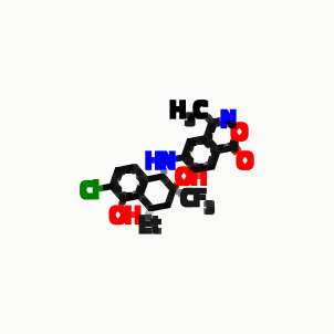 CC[C@H]1C[C@@](O)(C(F)(F)F)[C@@H](Nc2ccc3c(=O)onc(C)c3c2)c2ccc(Cl)c(O)c21